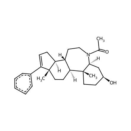 CC(=O)N1CC[C@@H]2[C@H](CC[C@]3(C)C(c4ccccc4)=CC[C@@H]23)[C@@]2(C)CC[C@H](O)C[C@H]12